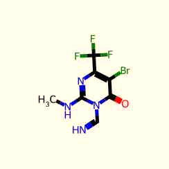 CNc1nc(C(F)(F)F)c(Br)c(=O)n1C=N